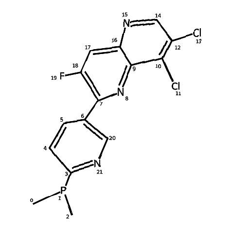 CP(C)c1ccc(-c2nc3c(Cl)c(Cl)cnc3cc2F)cn1